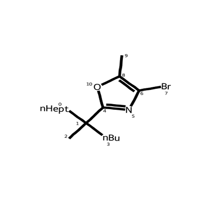 CCCCCCCC(C)(CCCC)c1nc(Br)c(C)o1